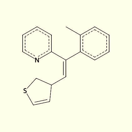 Cc1ccccc1C(=CC1C=CSC1)c1ccccn1